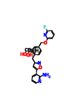 Nc1ncccc1-c1cc(Cc2ccc(COc3cccc(F)n3)cc2)no1.O=C(O)O.O=C(O)O